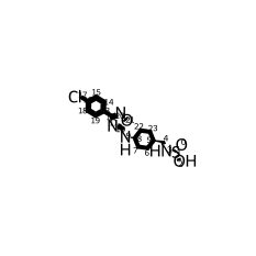 O=S(O)NC[C@H]1CC[C@H](Nc2nc(-c3ccc(Cl)cc3)no2)CC1